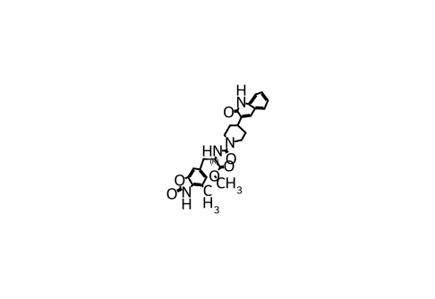 COC(=O)[C@@H](Cc1cc(C)c2[nH]c(=O)oc2c1)NC(=O)N1CCC(c2cc3ccccc3[nH]c2=O)CC1